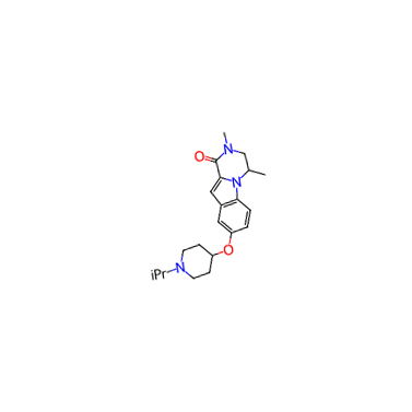 CC(C)N1CCC(Oc2ccc3c(c2)cc2n3C(C)CN(C)C2=O)CC1